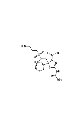 CCCCC(=O)NC1=NN(C(=O)CCCC)C(CN(C)S(=O)(=O)CCCN)(c2ccccc2)S1